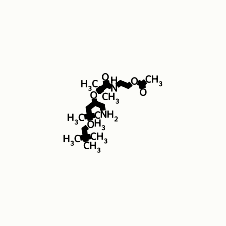 CC(=O)OCCNC(=O)C(C)(C)OC(CN)CC(C)(C)OCC(C)(C)C